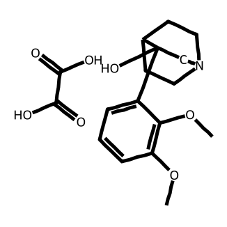 COc1cccc(C2(O)CN3CCC2CC3)c1OC.O=C(O)C(=O)O